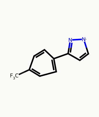 FC(F)(F)c1ccc(C2=N[N]C=C2)cc1